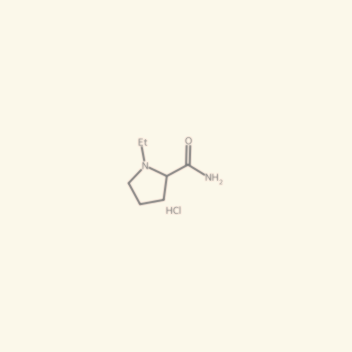 CCN1CCCC1C(N)=O.Cl